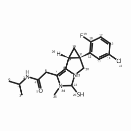 CC(C)NC(=O)CC1=C2[C@@H]3C[C@]3(c3cc(Cl)ccc3F)CN2C(S)N1C